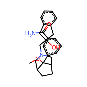 COC1(c2cccc(C(N)=O)c2)C2CCC1CN(CC1(O)Cc3ccccc3C1)C2